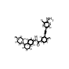 Cc1ccc(C(=O)Nc2ccc3c(c2)CCC[C@@H]3N2CCN(C)CC2)cc1C#Cc1cnc(N)c(C)n1